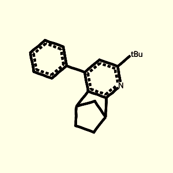 CC(C)(C)c1cc(-c2ccccc2)c2c(n1)C1CCC2C1